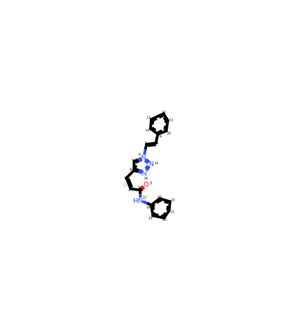 O=C(/C=C\c1cn(C=Cc2ccccc2)nn1)Nc1ccccc1